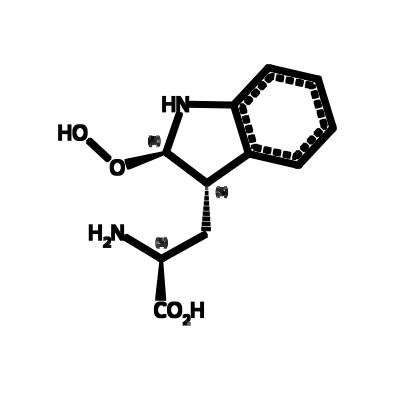 N[C@@H](C[C@H]1c2ccccc2N[C@@H]1OO)C(=O)O